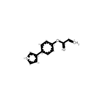 C=CC(=O)Oc1ccc(-c2ccsc2)cc1